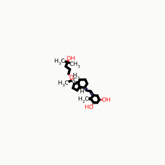 C=C1/C(=C\C=C2/CCC[C@]3(C)[C@@H](C(C)OCCCC(C)(C)O)CC[C@@H]23)C[C@@H](O)C[C@@H]1O